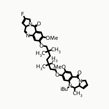 CCC(C)N1c2cc(OCCC(C)(C)CCC(C)(C)COc3cc4c(cc3OC)C(=O)N3CC(F)=CC3C=N4)c(OC)cc2C(=O)N2CC=CC2C1C